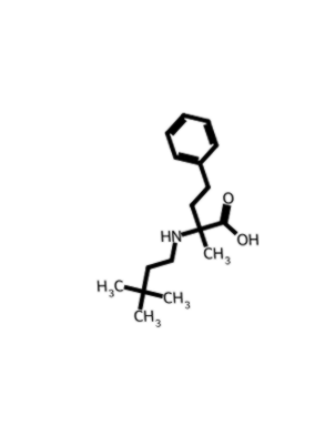 CC(C)(C)CCNC(C)(CCc1ccccc1)C(=O)O